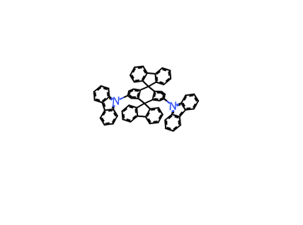 c1ccc2c(c1)-c1ccccc1C21c2ccc(-n3c4ccccc4c4ccccc43)cc2C2(c3ccccc3-c3ccccc32)c2cc(-n3c4ccccc4c4ccccc43)ccc21